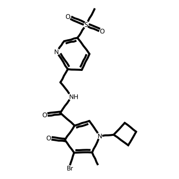 Cc1c(Br)c(=O)c(C(=O)NCc2ccc(S(C)(=O)=O)cn2)cn1C1CCC1